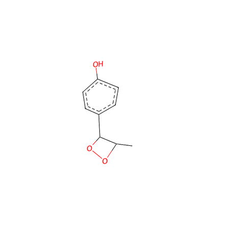 CC1OOC1c1ccc(O)cc1